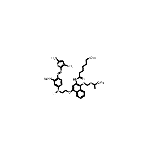 CCCCCCCCCCCCCCCC(=O)Nc1cc(OCCN(CC)c2ccc(N=Nc3sc([N+](=O)[O-])cc3[N+](=O)[O-])c(NC(C)=O)c2)c2ccccc2c1OCOC(C)OC